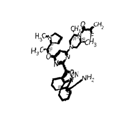 C=C(F)C(=O)N1[C@@H](C)CN(c2cc(O[C@@H](C)[C@@H]3CCCN3C)nc(-c3onc4c3CCC[C@@]43CCCc4sc(N)c(C#N)c43)n2)C[C@@H]1C